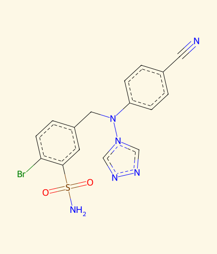 N#Cc1ccc(N(Cc2ccc(Br)c(S(N)(=O)=O)c2)n2cnnc2)cc1